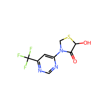 O=C1C(O)SCN1c1cc(C(F)(F)F)ncn1